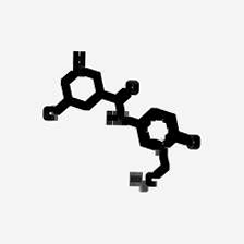 CCn1cc(NC(=O)C2CNCC(Cl)C2)ccc1=O